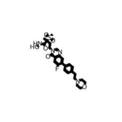 CC(CCn1cnc2cc(-c3ccc(CCN4CCOCC4)cc3)c(F)cc2c1=O)(C(=O)NO)S(C)(=O)=O